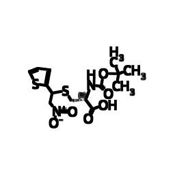 CC(C)(C)OC(=O)N[C@@H](CSC(C[N+](=O)[O-])c1cccs1)C(=O)O